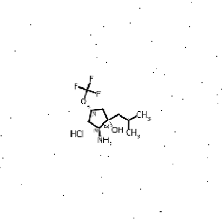 C[C](C)C[C@]1(O)C[C@@H](OC(F)(F)F)C[C@@H]1N.Cl